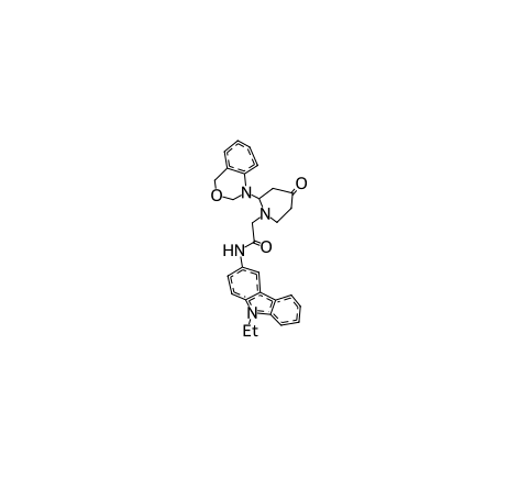 CCn1c2ccccc2c2cc(NC(=O)CN3CCC(=O)CC3N3COCc4ccccc43)ccc21